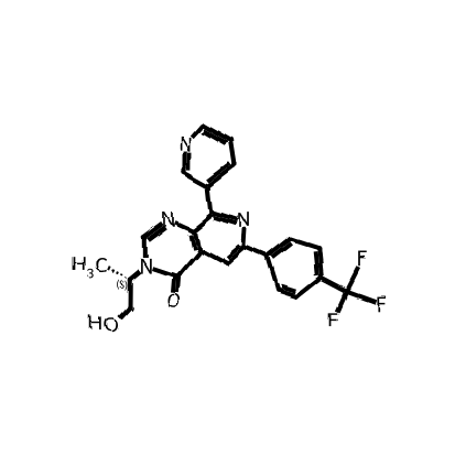 C[C@@H](CO)n1cnc2c(-c3cccnc3)nc(-c3ccc(C(F)(F)F)cc3)cc2c1=O